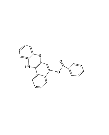 O=C(Oc1cc2c(c3ccccc13)Nc1ccccc1S2)c1ccccc1